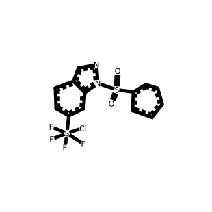 O=S(=O)(c1ccccc1)n1ncc2ccc(S(F)(F)(F)(F)Cl)cc21